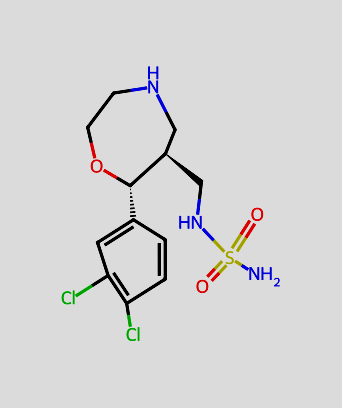 NS(=O)(=O)NC[C@@H]1CNCCO[C@H]1c1ccc(Cl)c(Cl)c1